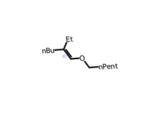 CCCCCCO/C=C(\CC)CCCC